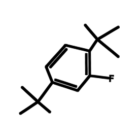 CC(C)(C)c1ccc(C(C)(C)C)c(F)c1